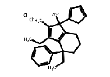 CCC1=C(C)[C]([Zr+2])(C2=CC=CC2)C2=C1C(CC)(c1ccccc1)CCC2.[Cl-].[Cl-]